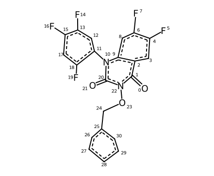 O=c1c2cc(F)c(F)cc2n(-c2cc(F)c(F)cc2F)c(=O)n1OCc1ccccc1